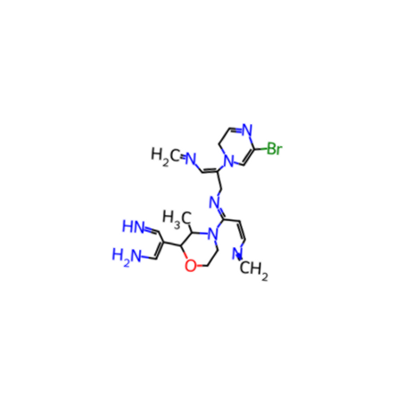 C=N/C=C\C(=N/C/C(=C/N=C)N1C=C(Br)N=CC1)N1CCOC(/C(C=N)=C/N)C1C